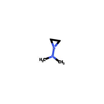 CN(C)N1CC1